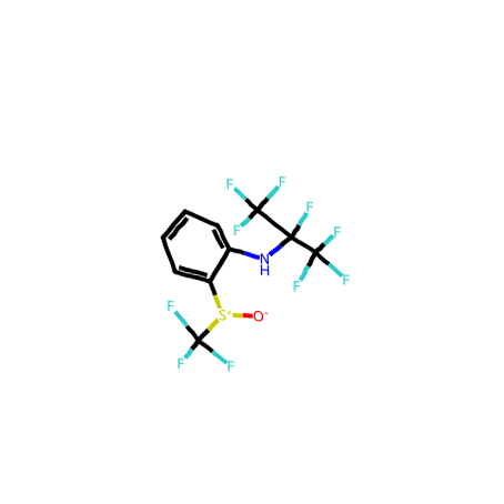 [O-][S+](c1ccccc1NC(F)(C(F)(F)F)C(F)(F)F)C(F)(F)F